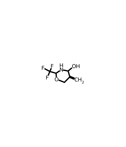 C=C1COC(C(F)(F)F)NC1O